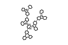 c1ccc(-n2c3ccccc3c3cc(-c4ccc5c(c4)c4ccccc4n5-c4cc(-c5ccc6c7ccccc7c7ccccc7c6c5)nc(-n5c6ccccc6c6cc(-c7ccc8c(c7)c7ccccc7n8-c7ccccc7)ccc65)n4)ccc32)cc1